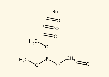 COP(OC)OC.[C]=O.[C]=O.[C]=O.[C]=O.[Ru]